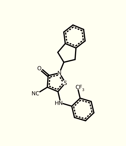 N#Cc1c(Nc2ccccc2C(F)(F)F)sn(C2Cc3ccccc3C2)c1=O